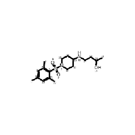 Cc1cc(C)c(S(=O)(=O)N2CCC(NCCC(C)O)CC2)c(C)c1